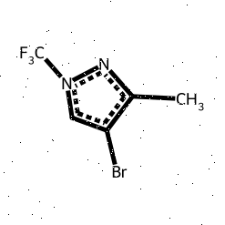 Cc1nn(C(F)(F)F)cc1Br